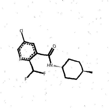 C[C@H]1CC[C@H](NC(=O)c2cc(Cl)cnc2C(F)F)CC1